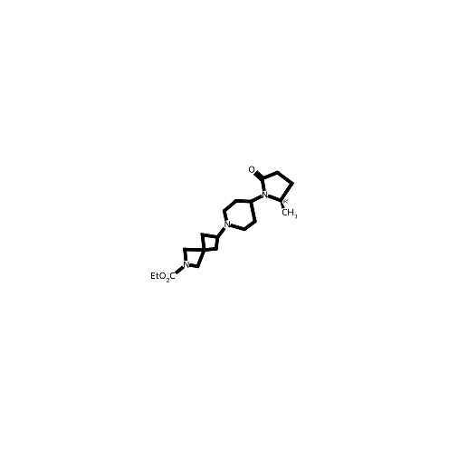 CCOC(=O)N1CC2(CC(N3CCC(N4C(=O)CC[C@H]4C)CC3)C2)C1